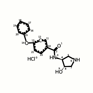 Cl.O=C(N[C@H]1CNC[C@@H]1O)c1ccc(Oc2ccccc2)cc1